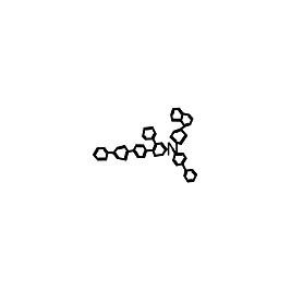 C1=C(N(c2ccc(-c3ccccc3)cc2)c2ccc(-c3cccc4ccccc34)cc2)CCC(c2ccc(-c3ccc(-c4ccccc4)cc3)cc2)=C1c1ccccc1